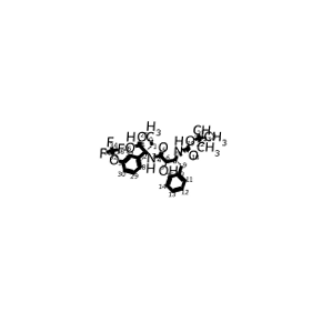 CC[C@@](NC(=O)[C@@H](O)[C@@H](Cc1ccccc1)NC(=O)OC(C)(C)C)(C(=O)O)c1cccc(OC(F)(F)F)c1